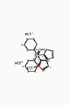 CC1=[C]([Zr](=[SiH2])([C]2=CC=CC2)([CH]2CCCCC2)[CH]2CCCCC2)CC=C1.Cl.Cl